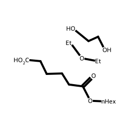 CCCCCCOC(=O)CCCCC(=O)O.CCOCC.OCCO